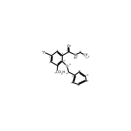 O=C(O)c1cc(F)cc(C(=O)NCC(F)(F)F)c1OCc1ccccc1